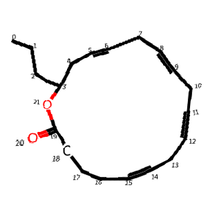 CCCC1CC=CCC=CCC=CCC=CCCCC(=O)O1